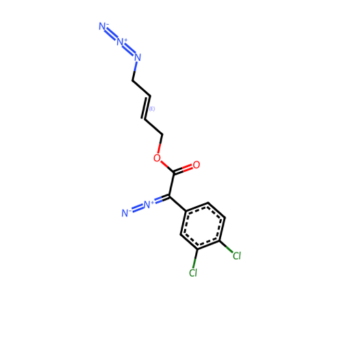 [N-]=[N+]=NC/C=C/COC(=O)C(=[N+]=[N-])c1ccc(Cl)c(Cl)c1